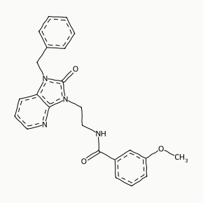 COc1cccc(C(=O)NCCn2c(=O)n(Cc3ccccc3)c3cccnc32)c1